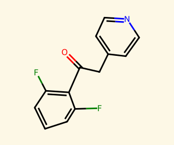 O=C(Cc1ccncc1)c1c(F)cccc1F